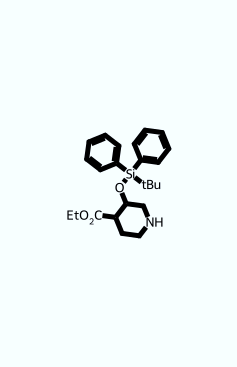 CCOC(=O)C1CCNCC1O[Si](c1ccccc1)(c1ccccc1)C(C)(C)C